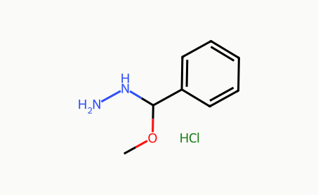 COC(NN)c1ccccc1.Cl